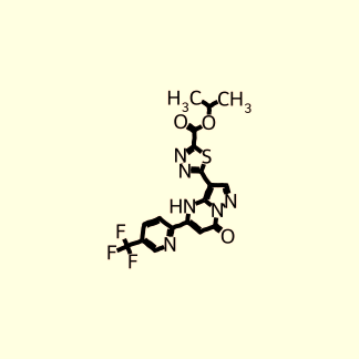 CC(C)OC(=O)c1nnc(-c2cnn3c(=O)cc(-c4ccc(C(F)(F)F)cn4)[nH]c23)s1